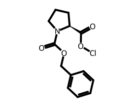 O=C(OCl)[C@@H]1CCCN1C(=O)OCc1ccccc1